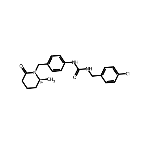 C[C@H]1CCCC(=O)N1Cc1ccc(NC(=O)NCc2ccc(Cl)cc2)cc1